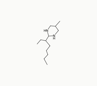 CCCCCC(CC)C1NCC(C)CN1